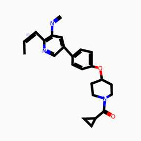 C=Nc1cc(-c2ccc(OC3CCN(C(=O)C4CC4)CC3)cc2)cnc1/C=C\C